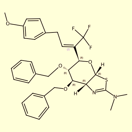 COc1ccc(C/C=C(/[C@H]2O[C@@H]3SC(N(C)C)=N[C@@H]3[C@@H](OCc3ccccc3)[C@@H]2OCc2ccccc2)C(F)(F)F)cc1